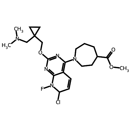 COC(=O)C1CCCN(c2nc(OCC3(CN(C)C)CC3)nc3c2C=CC(Cl)N3F)CC1